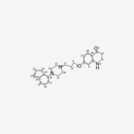 O=C1CCNc2cc(OCCCN3CCN(c4cccc5sccc45)CC3)ccc21